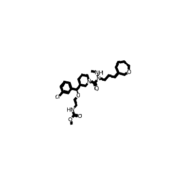 CNN(CCCC1CCCCOC1)C(=O)N1CCCC([C@@H](OCCNC(=O)OC)c2cccc(Cl)c2)C1